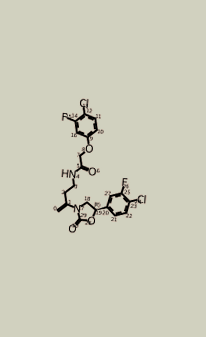 C=C(CCNC(=O)COc1ccc(Cl)c(F)c1)N1C[C@@H](c2ccc(Cl)c(F)c2)OC1=O